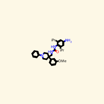 COc1cccc(C2(CNC(=O)Nc3c(C(C)C)cc(N)cc3C(C)C)CCN(c3ccccc3)CC2)c1